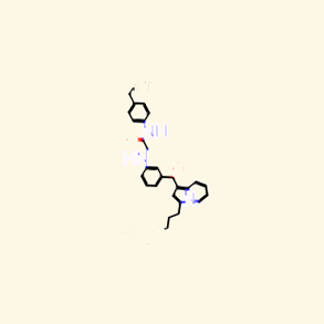 CC(C)Cc1ccc(NC(=O)CNc2cccc(C(=O)c3cc(CCCC(=O)O)n4ccccc34)c2)cc1